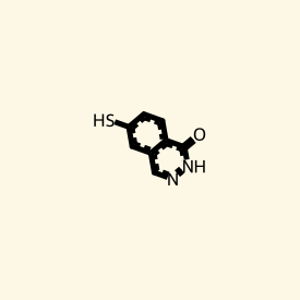 O=c1[nH]ncc2cc(S)ccc12